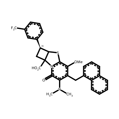 COc1c(Cc2cccc3ccccc23)c(N(C)C)c(=O)n2c1SC1[C@H](c3cccc(C(F)(F)F)c3)CC12C(=O)O